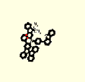 CC1(C)c2ccccc2-c2ccc(N(c3ccc(-c4cccc5c4sc4ccccc45)cc3)c3cc4c(cc3-c3ccccc3)-c3ccccc3C43c4ccccc4-c4ccccc43)cc21